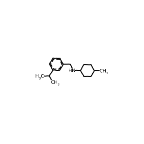 CC1CCC(NCc2cccc(C(C)C)c2)CC1